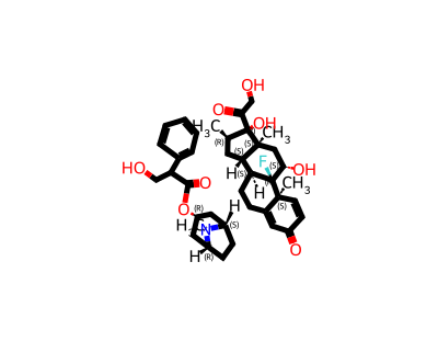 CN1[C@@H]2CC[C@H]1C[C@@H](OC(=O)C(CO)c1ccccc1)C2.C[C@@H]1C[C@H]2[C@@H]3CCC4=CC(=O)C=C[C@]4(C)[C@@]3(F)[C@@H](O)C[C@]2(C)[C@@]1(O)C(=O)CO